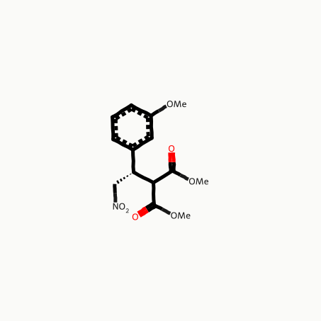 COC(=O)C(C(=O)OC)[C@H](C[N+](=O)[O-])c1cccc(OC)c1